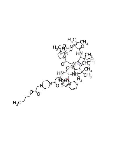 CCCCOC(=O)CN1CCN(C(=O)C[C@@H](NC(=O)C(NC(=O)C(/N=C2\NCC(=O)N3CC[C@@H](C)[C@H]3C(=O)N[C@@H](C(C)C)C(=O)NC2C(C)(C)C)C(C)(C)C)[C@@H](C)c2ccccc2)c2nccs2)CC1